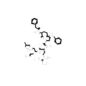 CC(C)CNC(=O)[C@H](CC(=O)O)NC(=O)[C@H](CCNC(=N)N)NC(=O)[C@@H]1C[C@@H](Cc2ccccc2)[C@@H]2CCC(NC(=O)Cc3ccccc3)C(=O)N12